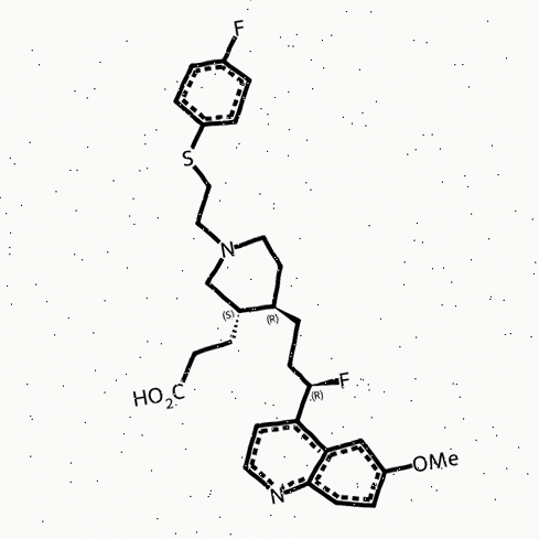 COc1ccc2nccc([C@H](F)CC[C@@H]3CCN(CCSc4ccc(F)cc4)C[C@H]3CCC(=O)O)c2c1